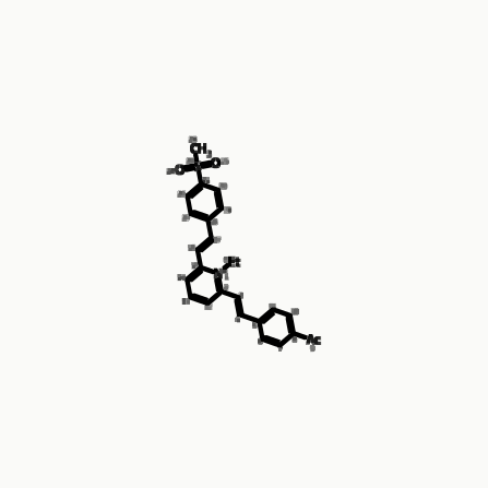 CC[n+]1c(/C=C/c2ccc(C(C)=O)cc2)cccc1/C=C/c1ccc(S(C)(=O)=O)cc1